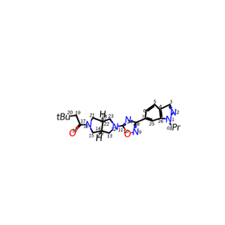 CC(C)n1ncc2ccc(-c3noc(N4C[C@@H]5CN(C(=O)CC(C)(C)C)C[C@H]5C4)n3)cc21